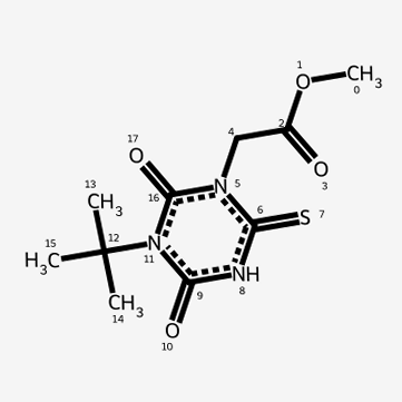 COC(=O)Cn1c(=S)[nH]c(=O)n(C(C)(C)C)c1=O